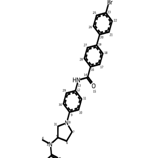 CC(=O)N(C)C1CCN(c2ccc(NC(=O)c3ccc(-c4ccc(Br)cc4)cc3)cc2)C1